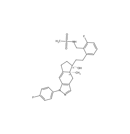 C[C@]12Cc3cnn(-c4ccc(F)cc4)c3C=C1CC[C@@]2(O)CCc1cccc(F)c1CNS(C)(=O)=O